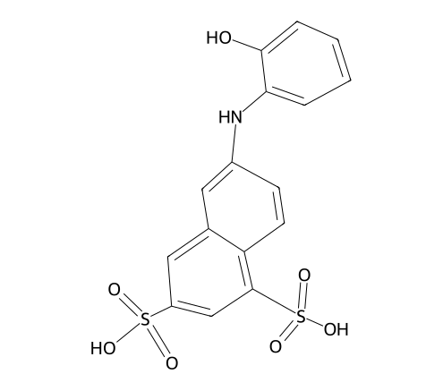 O=S(=O)(O)c1cc(S(=O)(=O)O)c2ccc(Nc3ccccc3O)cc2c1